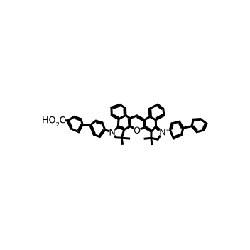 CC1(C)CN(c2ccc(-c3ccc(C(=O)O)cc3)cc2)c2c1c1c(c3ccccc23)C=c2c(c3c(c4ccccc24)=[N+](c2ccc(-c4ccccc4)cc2)CC3(C)C)O1